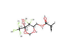 C=C(C)C(=O)OCC1OCOC(O)(C(F)(F)F)C1(F)F